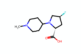 CN1CCC(N2C[C@@H](F)C[C@@H]2C(=O)O)CC1